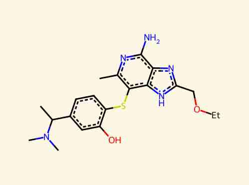 CCOCc1nc2c(N)nc(C)c(Sc3ccc(C(C)N(C)C)cc3O)c2[nH]1